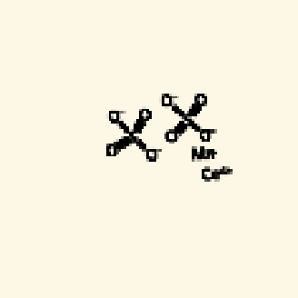 O=S(=O)([O-])[O-].O=S(=O)([O-])[O-].[Ce+4].[Mn]